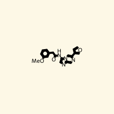 COc1cccc(CC(=O)Nc2cnc3cnc(-c4ccoc4)cn23)c1